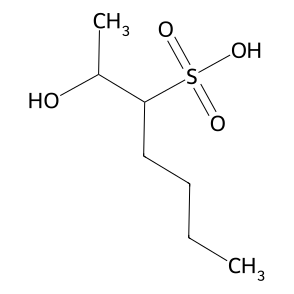 CCCCC(C(C)O)S(=O)(=O)O